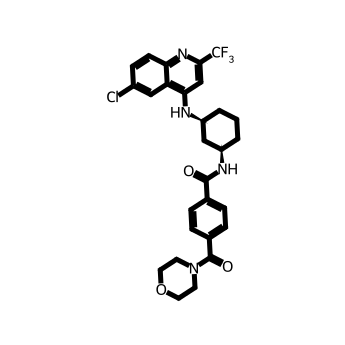 O=C(N[C@@H]1CCC[C@H](Nc2cc(C(F)(F)F)nc3ccc(Cl)cc23)C1)c1ccc(C(=O)N2CCOCC2)cc1